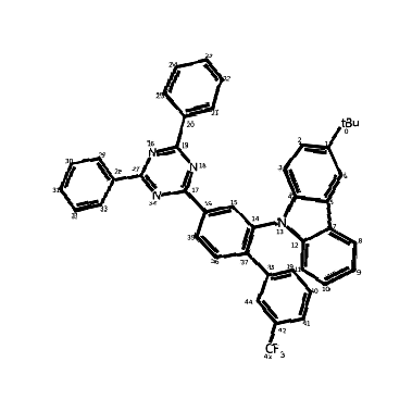 CC(C)(C)c1ccc2c(c1)c1ccccc1n2-c1cc(-c2nc(-c3ccccc3)nc(-c3ccccc3)n2)ccc1-c1cccc(C(F)(F)F)c1